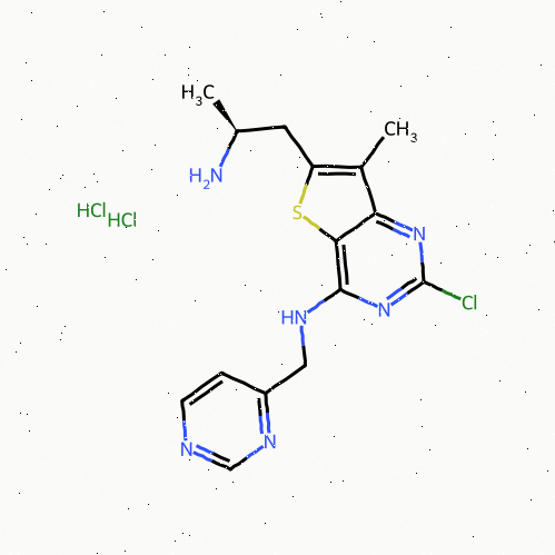 Cc1c(C[C@H](C)N)sc2c(NCc3ccncn3)nc(Cl)nc12.Cl.Cl